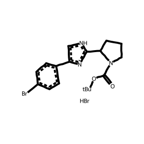 Br.CC(C)(C)OC(=O)N1CCCC1c1nc(-c2ccc(Br)cc2)c[nH]1